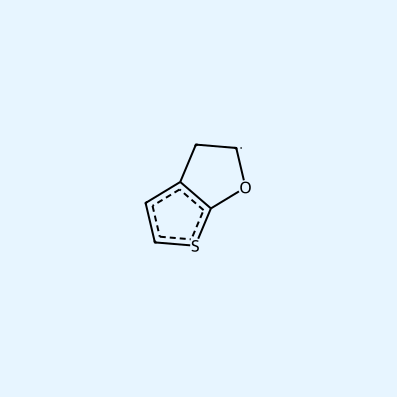 [CH]1Cc2ccsc2O1